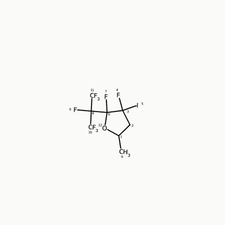 CC1CC(F)(I)C(F)(C(F)(C(F)(F)F)C(F)(F)F)O1